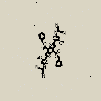 COc1cc(N=C(C#N)C#N)sc1-c1cc2c(C(=O)OCc3ccccc3)c3sc(-c4sc(N=C(C#N)C#N)cc4OC)cc3c(C(=O)OCc3ccccc3)c2s1